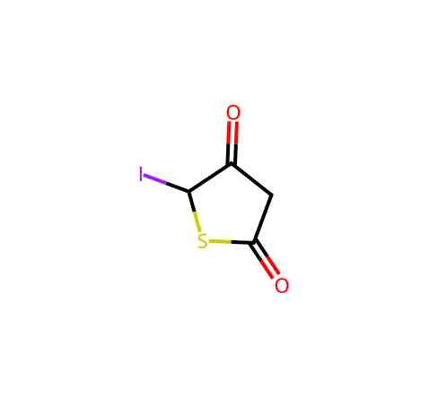 O=C1CC(=O)C(I)S1